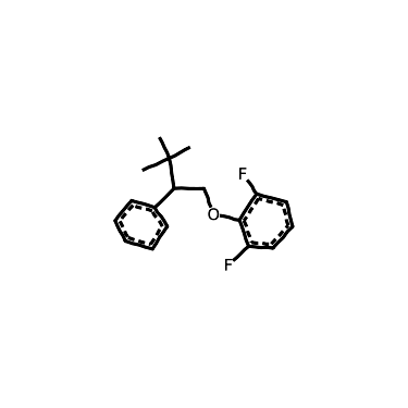 CC(C)(C)C(COc1c(F)cccc1F)c1ccccc1